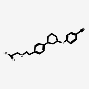 N#Cc1ccc(OC2CCCC(c3ccc(CCOCC(=O)O)cc3)C2)cc1